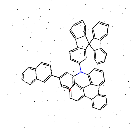 c1cc(-c2ccc3ccccc3c2)cc(N(c2ccc3c(c2)C2(c4ccccc4-c4ccccc42)c2ccccc2-3)c2cccc3c4ccccc4c4ccccc4c23)c1